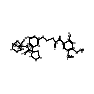 COc1cc(NC(=O)CCCc2cccc(C3(C(=O)O[C@H]4CN5CCC4CC5)CCCC3)c2)c(Cl)cc1CO